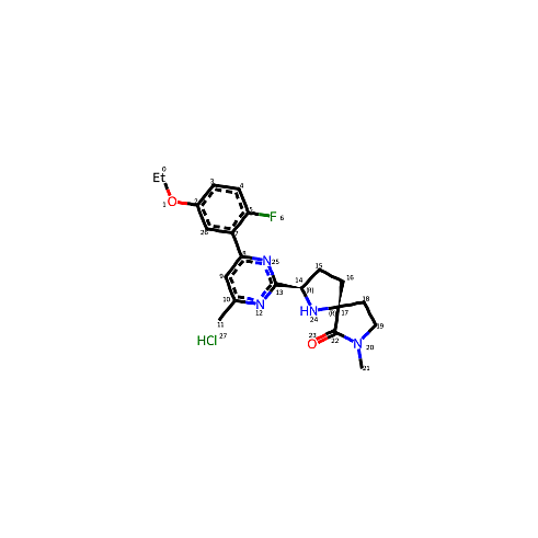 CCOc1ccc(F)c(-c2cc(C)nc([C@H]3CC[C@]4(CCN(C)C4=O)N3)n2)c1.Cl